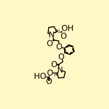 O=C(O)O[C@@H]1CCCN1C(=O)COc1ccccc1OCC(=O)N1CCC[C@@H]1C(=O)O